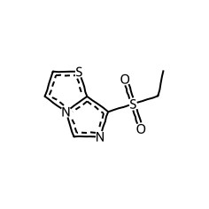 CCS(=O)(=O)c1ncn2ccsc12